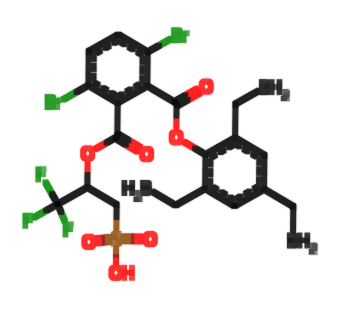 BCc1cc(CB)c(OC(=O)c2c(Br)ccc(Br)c2C(=O)OC(CS(=O)(=O)O)C(F)(F)F)c(CB)c1